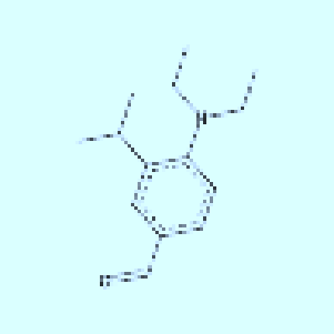 CCN(CC)c1ccc(C=O)cc1C(C)C